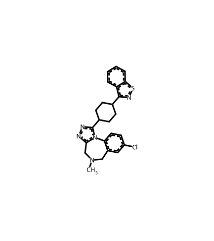 CN1Cc2cc(Cl)ccc2-n2c(nnc2C2CCC(c3nsc4ccccc34)CC2)C1